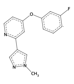 Cn1cc(-c2cc(Oc3cc[c]c(F)c3)ccn2)cn1